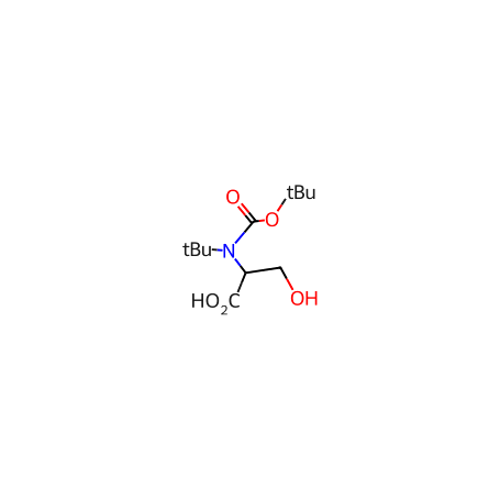 CC(C)(C)OC(=O)N(C(CO)C(=O)O)C(C)(C)C